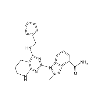 Cc1cc2c(C(N)=O)cccc2n1-c1nc2c(c(NCc3c[c]ccc3)n1)CCCN2